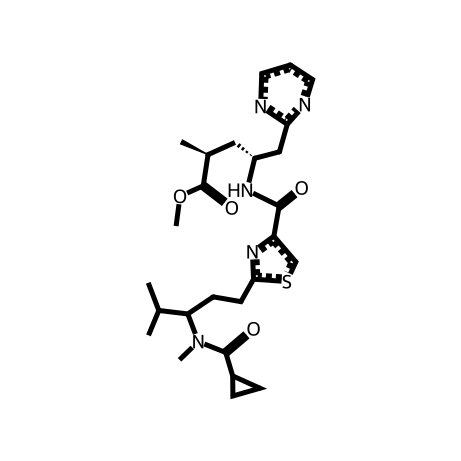 COC(=O)[C@@H](C)C[C@H](Cc1ncccn1)NC(=O)c1csc(CCC(C(C)C)N(C)C(=O)C2CC2)n1